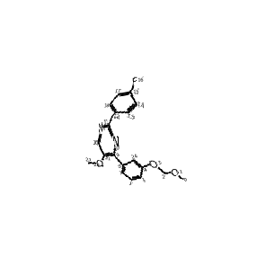 COCOc1cccc(-c2nc(-c3ccc(F)cc3)ncc2OC)c1